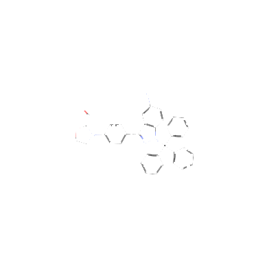 Nc1ccc2c(c1)c(-c1ccc(N3CCOC3C=O)cc1)nn2C(c1ccccc1)(c1ccccc1)c1ccccc1